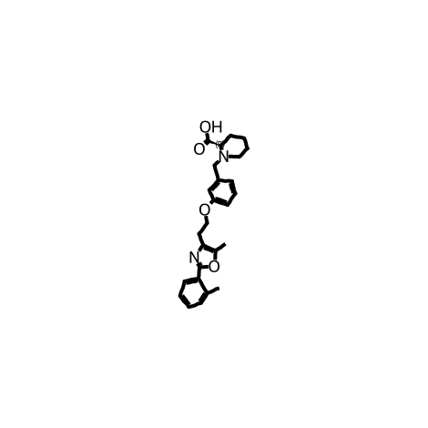 Cc1ccccc1-c1nc(CCOc2cccc(CN3CCCC[C@@H]3C(=O)O)c2)c(C)o1